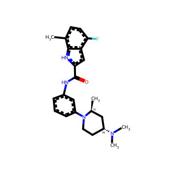 Cc1ccc(F)c2cc(C(=O)Nc3cccc(N4CC[C@@H](N(C)C)C[C@@H]4C)c3)[nH]c12